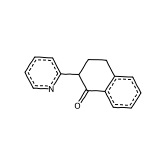 O=C1c2ccccc2CCC1c1ccccn1